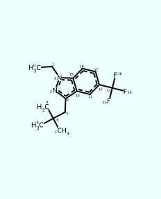 CCn1nc(CC(C)(C)C)c2cc(C(F)(F)F)ccc21